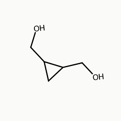 OCC1CC1CO